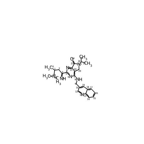 CC(CC(=N)c1nc(NCc2cnc3ccccc3c2)c2c(n1)C(=O)N(C(C)C)C2)N(C)C